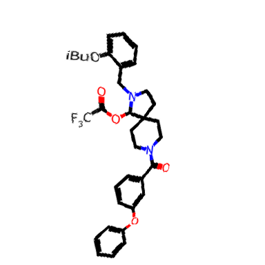 CC(C)COc1ccccc1CN1CCC2(CCN(C(=O)c3cccc(Oc4ccccc4)c3)CC2)C1OC(=O)C(F)(F)F